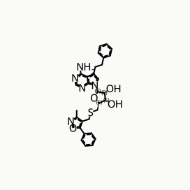 Cc1noc(-c2ccccc2)c1CSC[C@H]1O[C@@H](n2cc(CCc3ccccc3)c3c(N)ncnc32)[C@H](O)[C@@H]1O